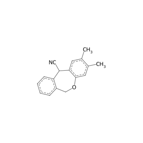 Cc1cc2c(cc1C)C(C#N)c1ccccc1CO2